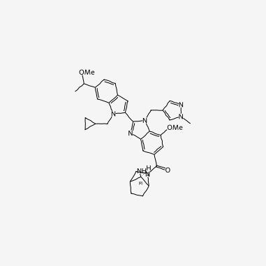 COc1cc(C(=O)N2CC3CCC2[C@@H]3N)cc2nc(-c3cc4ccc(C(C)OC)cc4n3CC3CC3)n(Cc3cnn(C)c3)c12